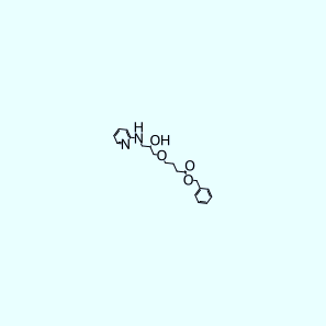 O=C(CCCOCC(O)CNc1ccccn1)OCc1ccccc1